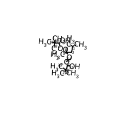 CC(C)CC(C)(OOC(O)C(C)(C)C)OOC(O)C(C)(C)C